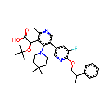 Cc1ncc(-c2cnc(OCC(C)c3ccccc3)c(F)c2)c(N2CCC(C)(C)CC2)c1C(OC(C)(C)C)C(=O)O